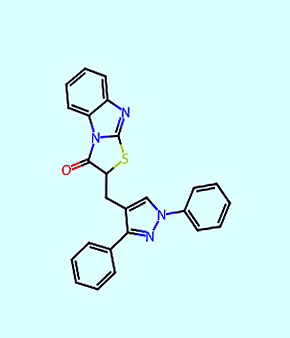 O=C1C(Cc2cn(-c3ccccc3)nc2-c2ccccc2)Sc2nc3ccccc3n21